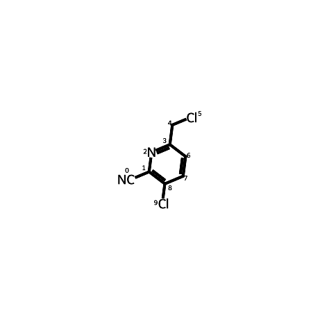 N#Cc1nc(CCl)ccc1Cl